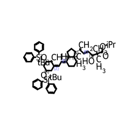 C=C1/C(=C\C=C2/CCC[C@]3(C)[C@@H](C(=C)/C=C/[C@H](O)C(C)(C)C(=O)OC(C)C)CC[C@@H]23)C[C@@H](O[Si](c2ccccc2)(c2ccccc2)C(C)(C)C)C[C@@H]1O[Si](c1ccccc1)(c1ccccc1)C(C)(C)C